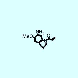 C=CC(=O)N1CCCc2cc(OC)c(N)cc21